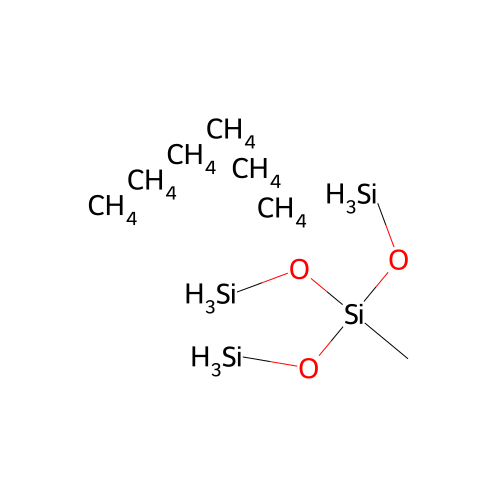 C.C.C.C.C.C.C[Si](O[SiH3])(O[SiH3])O[SiH3]